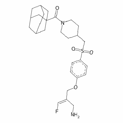 NC/C(=C\F)COc1ccc(S(=O)(=O)CC2CCN(C(=O)C34CC5CC(CC(C5)C3)C4)CC2)cc1